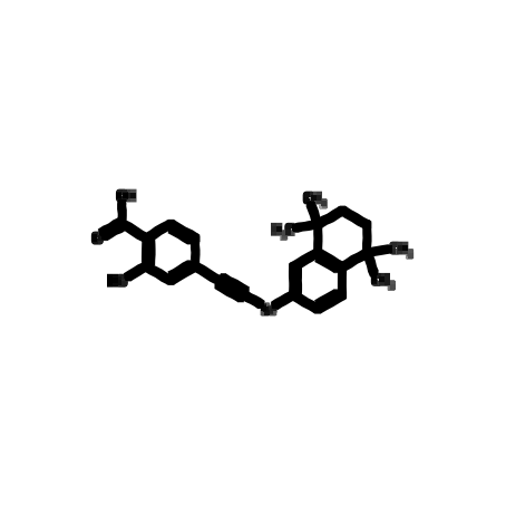 CC1(C)CCC(C)(C)c2cc([Se]C#Cc3ccc(C(=O)O)c(O)c3)ccc21